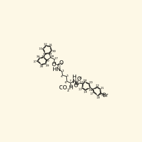 O=C(NCCCCC(NS(=O)(=O)c1ccc(-c2ccc(Br)cc2)cc1)C(=O)O)OCC1c2ccccc2-c2ccccc21